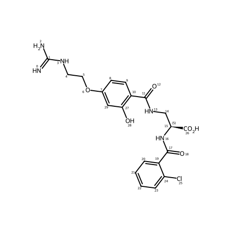 N=C(N)NCCOc1ccc(C(=O)NC[C@H](NC(=O)c2ccccc2Cl)C(=O)O)c(O)c1